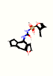 Cc1ccoc1S(=O)(=O)NC(=O)Nc1c2c(cc3c1CCO3)CCC2